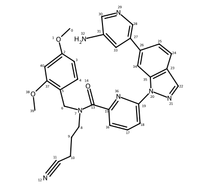 COc1ccc(CN(CCCC#N)C(=O)c2cccc(-n3ncc4ccc(-c5cncc(N)c5)cc43)n2)c(OC)c1